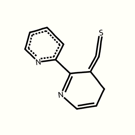 S=C=C1CC=CN=C1c1ccccn1